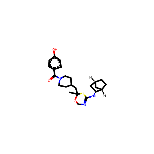 CC1(CC2CCN(C(=O)c3ccc(O)cc3)CC2)OCN=C(N[C@H]2C[C@@H]3CC[C@H]2C3)S1